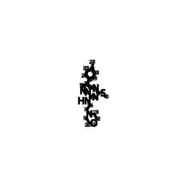 CSc1nc(NCCN2CCOCC2)n2ncc(-c3ccc(C)cc3)c2n1